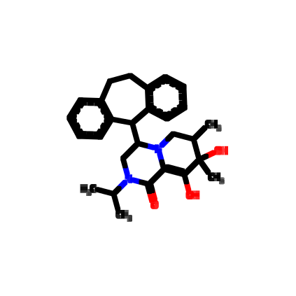 CC(C)N1CC(C2c3ccccc3CCc3ccccc32)N2CC(C)C(C)(O)C(O)=C2C1=O